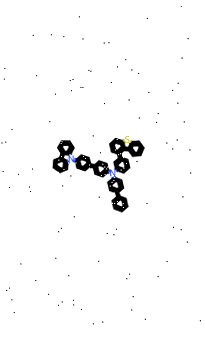 c1ccc(-c2ccc(N(c3ccc(-c4ccc(-n5c6ccccc6c6ccccc65)cc4)cc3)c3cccc(-c4cccc5sc6ccccc6c45)c3)cc2)cc1